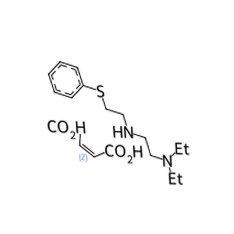 CCN(CC)CCNCCSc1ccccc1.O=C(O)/C=C\C(=O)O